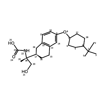 CC(C)(C)C1CCC(Oc2ccc3c(c2)CC[C@@H]([C@](C)(CO)NC(=O)O)C3)CC1